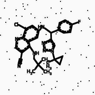 CC(C)(C)CNc1c(C#N)cnc2c(Cl)cc(NC(c3ccc(F)cc3)c3cn(C4(C)CC4)nn3)cc12